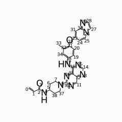 C=CC(=O)NC1CCN(c2ncc3ncnc(Nc4ccc(Oc5ccn6ccnc6c5)c(C)c4)c3n2)CC1